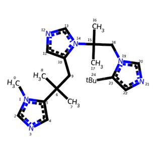 Cn1cncc1C(C)(C)Cc1cncn1C(C)(C)Cn1cncc1C(C)(C)C